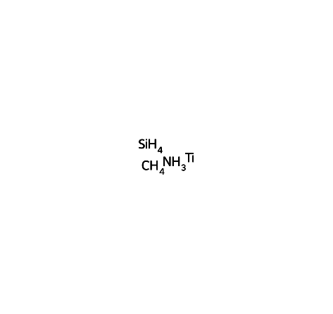 C.N.[SiH4].[Ti]